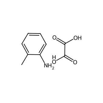 Cc1ccccc1N.O=C(O)C(=O)O